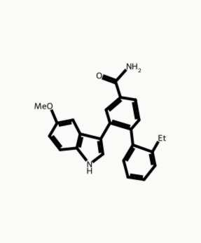 CCc1ccccc1-c1ccc(C(N)=O)cc1-c1c[nH]c2ccc(OC)cc12